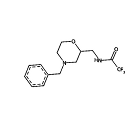 O=C(NCC1CN(Cc2ccccc2)CCO1)C(F)(F)F